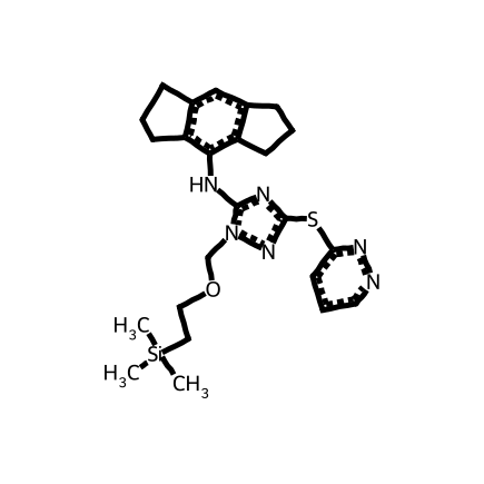 C[Si](C)(C)CCOCn1nc(Sc2cccnn2)nc1Nc1c2c(cc3c1CCC3)CCC2